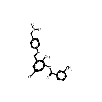 CCN(CC)Cc1ccc(N=Cc2cc(Cl)cc(OC(=O)c3cccc(C)c3)c2O)cc1